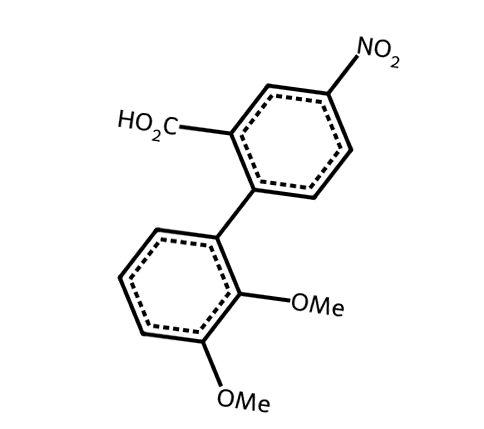 COc1cccc(-c2ccc([N+](=O)[O-])cc2C(=O)O)c1OC